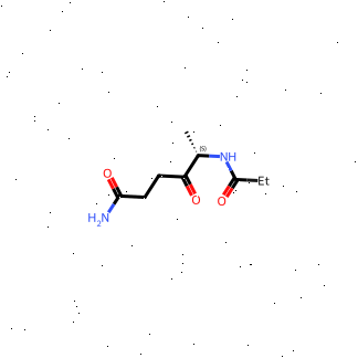 CCC(=O)N[C@@H](C)C(=O)CCC(N)=O